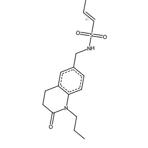 C/C=C/S(=O)(=O)NCc1ccc2c(c1)CCC(=O)N2CCC